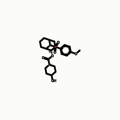 COc1ccc(S(=O)(=O)N2C3CCCC2[C@@H](OC(=O)N2CCC(O)CC2)CC3)cc1